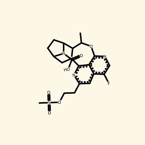 CC1Oc2ncc(F)c3cc(CCOS(C)(=O)=O)nc(c23)N2CC3CCC(C12)N3C(=O)O